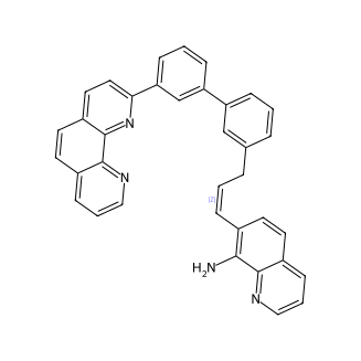 Nc1c(/C=C\Cc2cccc(-c3cccc(-c4ccc5ccc6cccnc6c5n4)c3)c2)ccc2cccnc12